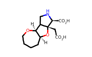 O=C(O)C[C@@]12O[C@H]3CCCCO[C@H]3C1CN[C@H]2C(=O)O